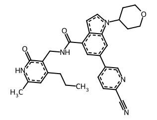 CCCc1cc(C)[nH]c(=O)c1CNC(=O)c1cc(-c2ccc(C#N)nc2)cc2c1ccn2C1CCOCC1